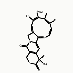 CCCCCc1c(CC)cc2c(nccc(F)c1C)-c1cc3c(c(=O)n1C2)COC(=O)[C@]3(O)CC